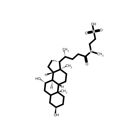 C[C@H](CCC(=O)N(C)CCS(=O)(=O)O)[C@H]1CC[C@H]2[C@@H]3[C@@H](O)CC4C[C@H](O)CC[C@]4(C)[C@H]3CC[C@]12C